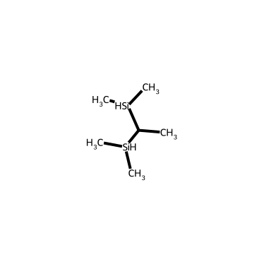 CC([SiH](C)C)[SiH](C)C